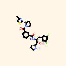 Cc1csc([C@H]2CCCN2C(=O)c2cccc(C(=O)N[C@@H](Cc3cc(F)cc(F)c3)[C@@H](O)[C@H]3CCCN3)c2)n1